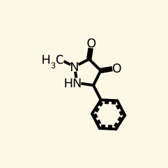 CN1NC(c2ccccc2)C(=O)C1=O